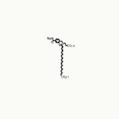 CNC(=O)c1ccc(CN(CCC(=O)O)C(=O)CCCCCCCCCCCCCCCCC(=O)O)cc1